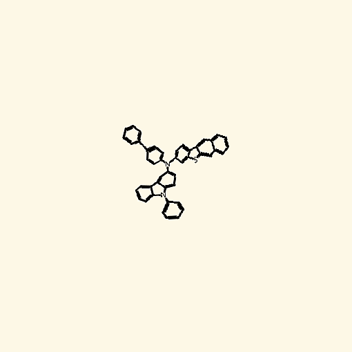 c1ccc(-c2ccc(N(c3ccc4c(c3)sc3cc5ccccc5cc34)c3ccc4c(c3)c3ccccc3n4-c3ccccc3)cc2)cc1